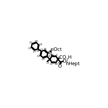 CCCCCCCCOC1=CC(C(=O)O)(C(=O)OCCCCCCC)C=CC1(C)c1ccc(-c2ccccc2)cc1